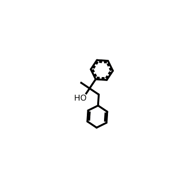 CC(O)(CC1C=CCC=C1)c1ccccc1